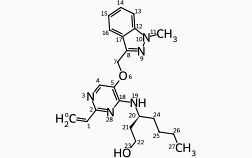 C=Cc1ncc(OCc2nn(C)c3ccccc23)c(N[C@H](CCO)CCCC)n1